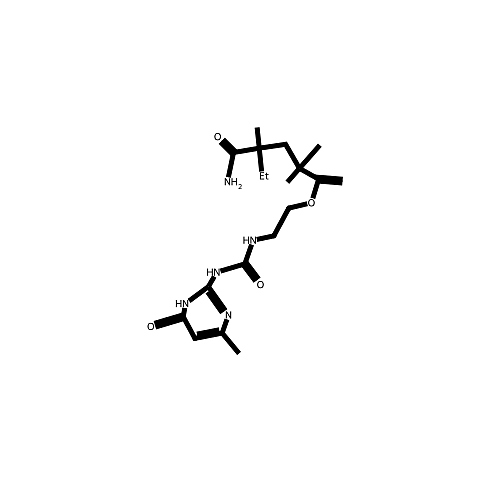 C=C(OCCNC(=O)Nc1nc(C)cc(=O)[nH]1)C(C)(C)CC(C)(CC)C(N)=O